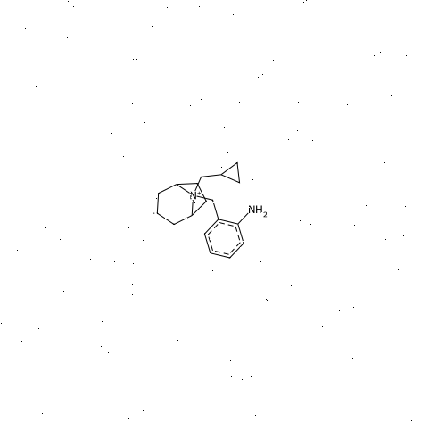 Nc1ccccc1C[N+]1(CC2CC2)C2C[CH]CC1CC2